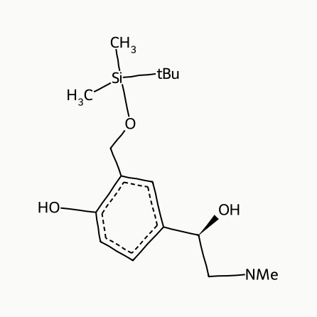 CNC[C@H](O)c1ccc(O)c(CO[Si](C)(C)C(C)(C)C)c1